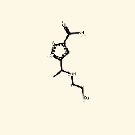 CC(NCCC(C)(C)C)c1cc(C(N)=O)no1